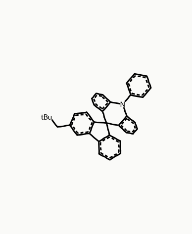 CC(C)(C)Cc1ccc2c(c1)-c1ccccc1C21c2ccccc2N(c2ccccc2)c2ccccc21